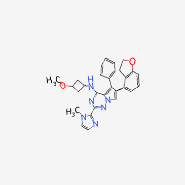 COC1CC(Nc2nc(-c3nccn3C)nn3cc(-c4cccc5c4CCO5)c(-c4ccccc4)c23)C1